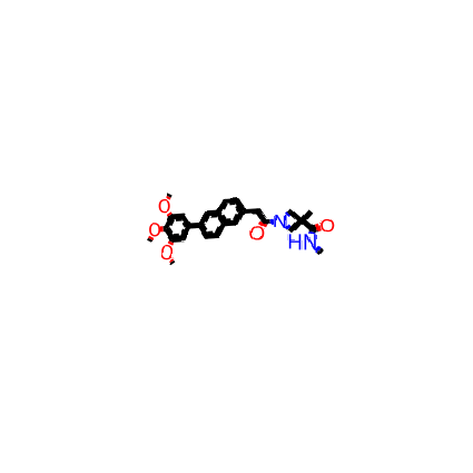 CNC(=O)C1(C)CN(C(=O)Cc2ccc3cc(-c4cc(OC)c(OC)c(OC)c4)ccc3c2)C1